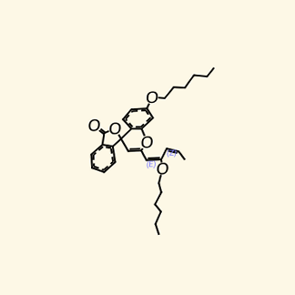 C/C=C\C(=C/C1=CC2(OC(=O)c3ccccc32)c2ccc(OCCCCCC)cc2O1)OCCCCCC